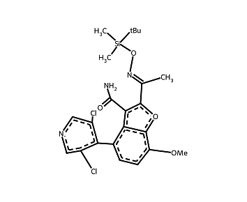 COc1ccc(-c2c(Cl)cncc2Cl)c2c(C(N)=O)c(C(C)=NO[Si](C)(C)C(C)(C)C)oc12